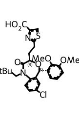 COc1cccc([C@H]2O[C@H](CCc3nc(C(=O)O)cs3)C(=O)N(CC(C)(C)C)c3ccc(Cl)cc32)c1OC